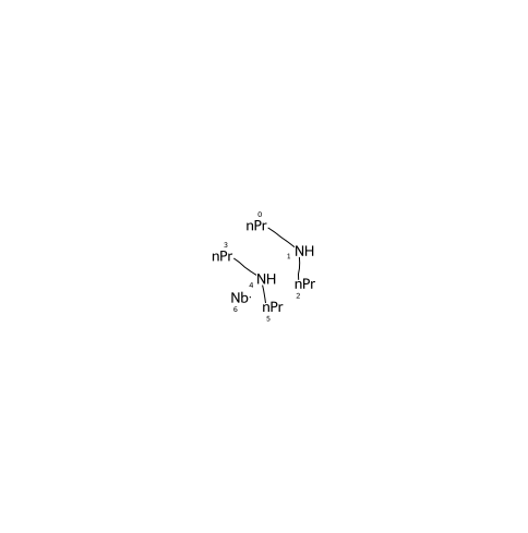 CCCNCCC.CCCNCCC.[Nb]